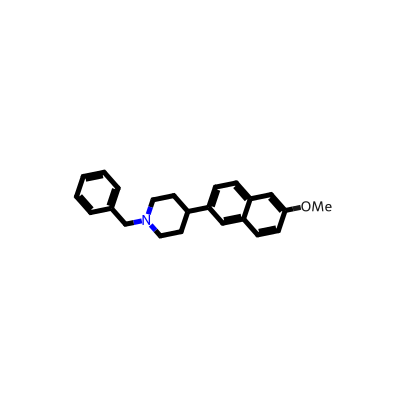 COc1ccc2cc(C3CCN(Cc4ccccc4)CC3)ccc2c1